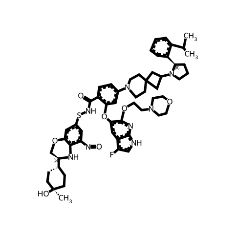 CC(C)c1ccccc1[C@H]1CCCN1C1CC2(CCN(c3ccc(C(=O)NSc4cc(N=O)c5c(c4)OC[C@H]([C@H]4CC[C@](C)(O)CC4)N5)c(Oc4cc5c(F)c[nH]c5nc4OCCN4CCOCC4)c3)CC2)C1